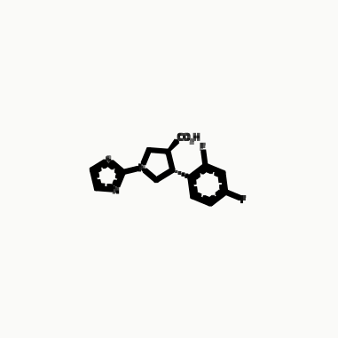 O=C(O)[C@@H]1CN(c2nccs2)C[C@H]1c1ccc(F)cc1F